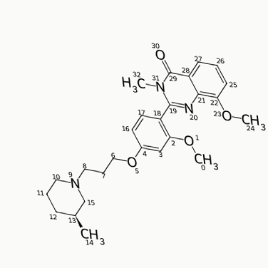 COc1cc(OCCCN2CCC[C@H](C)C2)ccc1-c1nc2c(OC)cccc2c(=O)n1C